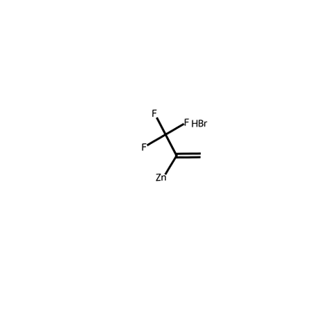 Br.C=[C]([Zn])C(F)(F)F